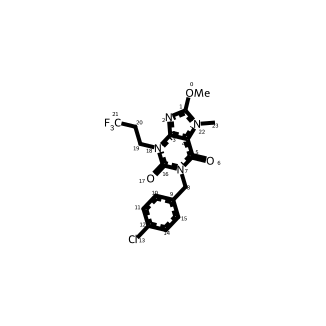 COc1nc2c(c(=O)n(Cc3ccc(Cl)cc3)c(=O)n2CCC(F)(F)F)n1C